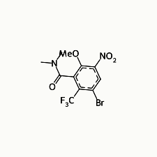 COc1c([N+](=O)[O-])cc(Br)c(C(F)(F)F)c1C(=O)N(C)C